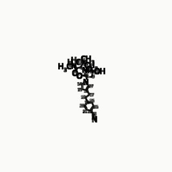 CNC(=O)[C@@H](NC(=O)[C@@H](CC(=O)O)n1ccc(CCc2ccc(C#N)cc2)c1)C(C)(C)C